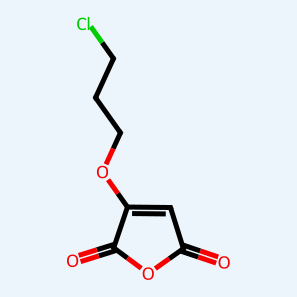 O=C1C=C(OCCCCl)C(=O)O1